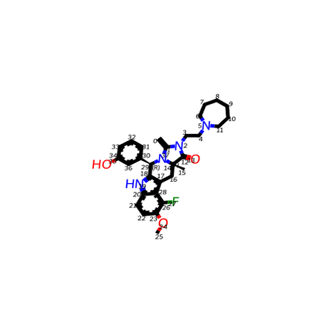 C=C1N(CCN2CCCCCC2)C(=O)[C@]2(C)Cc3c([nH]c4ccc(OC)c(F)c34)[C@@H](c3cccc(O)c3)N12